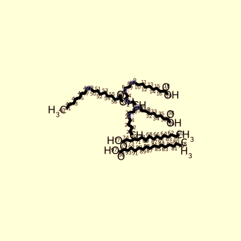 CC/C=C\C/C=C\C/C=C\CCCCCCCC(=O)O.CCCCC/C=C\C/C=C\CCCCCCCC(=O)O.CCCCCCCC/C=C\CCCCCCCC(=O)O.CCCCCCCCCCCCCCCC(=O)O.CCCCCCCCCCCCCCCCCC(=O)O